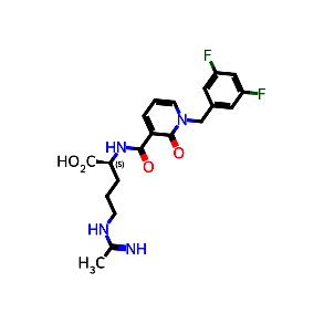 CC(=N)NCCC[C@H](NC(=O)c1cccn(Cc2cc(F)cc(F)c2)c1=O)C(=O)O